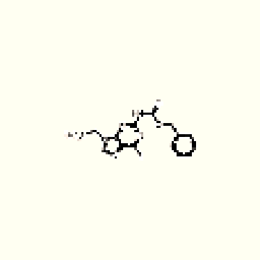 CCOC(=O)Cn1cnc2c(I)nc(NC(=O)OCc3ccccc3)nc21